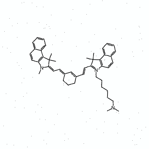 CN(C)CCCCCC[N+]1=C(/C=C/C2=CC(=C/C=C3/N(C)c4ccc5ccccc5c4C3(C)C)/CCC2)C(C)(C)c2c1ccc1ccccc21